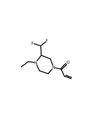 C=CC(=O)N1CCN(CC)C(C(F)F)C1